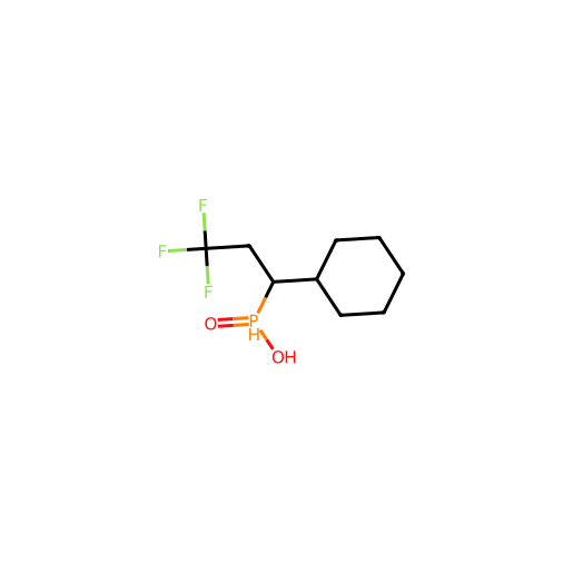 O=[PH](O)C(CC(F)(F)F)C1CCCCC1